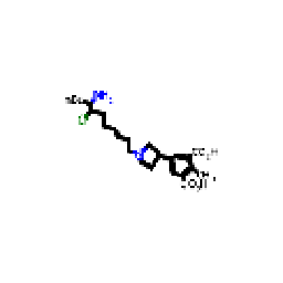 CCCCC(N)C(Cl)CCCCCCN1CCC(c2cc(C(=O)O)c(C)c(C(=O)O)c2)CC1